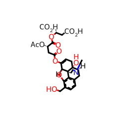 CC(=O)O[C@@H](CC(=O)OC1=CC[C@@]2(O)[C@H]3Cc4ccc(CO)c5c4[C@@]2(CCN3C)[C@H]1O5)C(=O)O[C@@H](CC(=O)O)C(=O)O